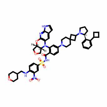 O=C(NS(=O)(=O)c1ccc(NCC2CCOCC2)c([N+](=O)[O-])c1)c1ccc(N2CCC3(CC2)CC(N2CCC[C@H]2c2ccccc2C2CCC2)C3)cc1N1c2cc3cc[nH]c3nc2O[C@H]2COC[C@H]21